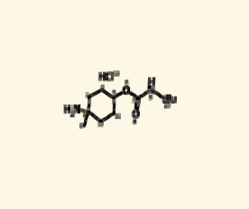 CC1(N)CCC(OC(=O)NC(C)(C)C)CC1.Cl